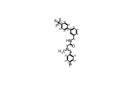 CN(CC(=O)NCc1cccc(-c2ccc(C(F)(F)F)cc2)c1)Sc1ccc(F)cc1